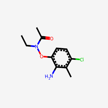 CCN(Oc1ccc(Cl)c(C)c1N)C(C)=O